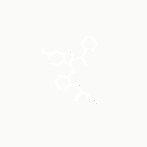 C=CC(=O)Oc1ccccc1Oc1c(C(=O)c2ccccc2)sc2cc(F)ccc12